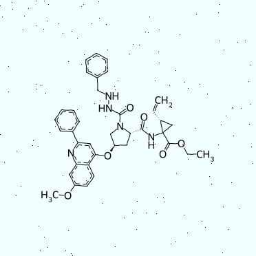 C=C[C@@H]1CC1(NC(=O)[C@@H]1C[C@@H](Oc2cc(-c3ccccc3)nc3cc(OC)ccc23)CN1C(=O)NNCc1ccccc1)C(=O)OCC